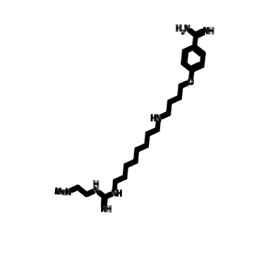 CNCCNC(=N)NCCCCCCCCNCCCCOc1ccc(C(=N)N)cc1